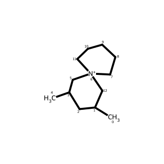 CC1CC(C)C[N+]2(CCCCC2)C1